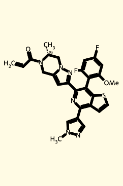 C=CC(=O)N1Cc2cc(-c3nc(-c4cnn(C)c4)c4ccsc4c3-c3c(F)cc(F)cc3OC)nn2C[C@H]1C